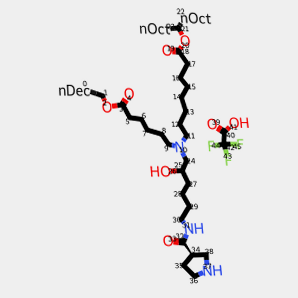 CCCCCCCCCCCOC(=O)CCCCCN(CCCCCCCC(=O)OC(CCCCCCCC)CCCCCCCC)CC(O)CCCCNC(=O)[C@@H]1CCNC1.O=C(O)C(F)(F)F